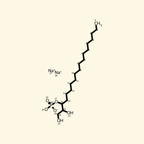 CCCCCCCCCCCCCCCCC(OP(=O)([O-])[O-])C(O)CO.[Na+].[Na+]